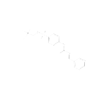 CC(C)(C)CNS(=O)(=O)c1ccc(NC(=O)NCc2cccnc2)cc1